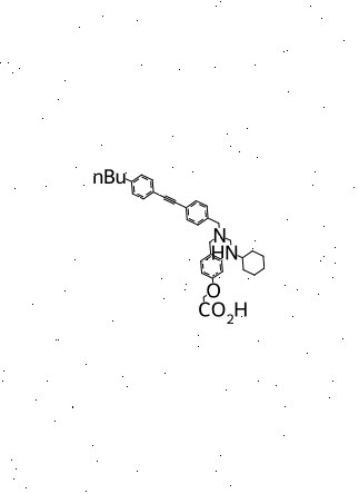 CCCCc1ccc(C#Cc2ccc(CN(CNC3CCCCC3)Cc3ccc(OCC(=O)O)cc3)cc2)cc1